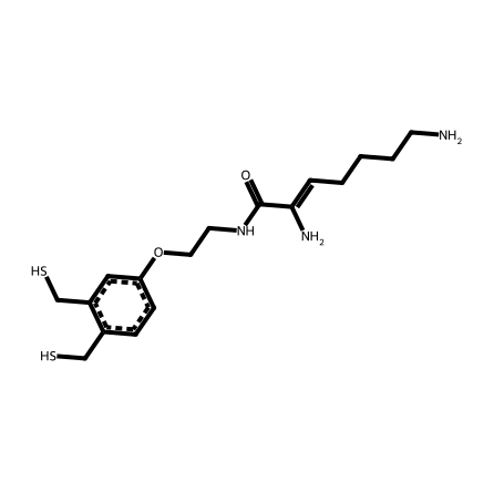 NCCCCC=C(N)C(=O)NCCOc1ccc(CS)c(CS)c1